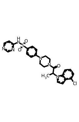 CC(C(=O)N1CCN(c2ccc(S(=O)(=O)Nc3ccncn3)cc2)CC1)n1ccc2c(Cl)cccc21